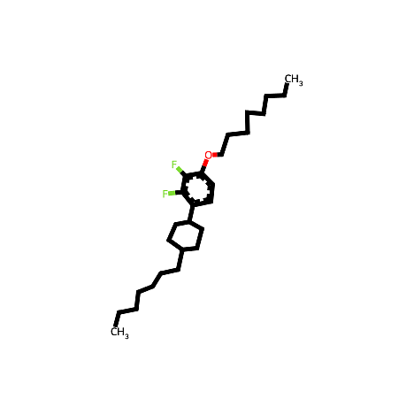 CCCCCCCCOc1ccc(C2CCC(CCCCCCC)CC2)c(F)c1F